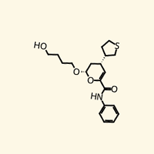 O=C(Nc1ccccc1)C1=C[C@@H](C2CCSC2)C[C@@H](OCCCCO)O1